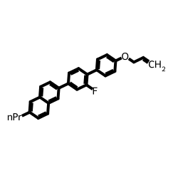 C=CCOc1ccc(-c2ccc(-c3ccc4cc(CCC)ccc4c3)cc2F)cc1